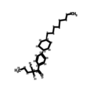 CCCCCCCC[C@H]1CC[C@H](c2ccc(C(=O)C(F)(F)CCC)cc2)CC1